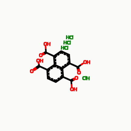 Cl.Cl.Cl.Cl.O=C(O)c1ccc(C(=O)O)c2c(C(=O)O)ccc(C(=O)O)c12